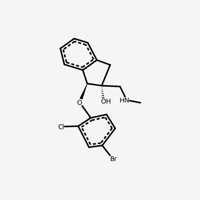 CNC[C@]1(O)Cc2ccccc2[C@@H]1Oc1ccc(Br)cc1Cl